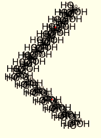 OCC(CO)(CO)CO.OCC(CO)(CO)CO.OCC(CO)(CO)CO.OCC(CO)(CO)CO.OCC(CO)(CO)CO.OCC(CO)(CO)CO.OCC(CO)(CO)CO.OCC(CO)(CO)CO.OCC(CO)(CO)CO.OCC(CO)(CO)CO.OCC(CO)(CO)CO.OCC(CO)(CO)CO.OCC(CO)(CO)CO.OCC(CO)(CO)CO.OCC(CO)(CO)CO.OCC(CO)(CO)CO